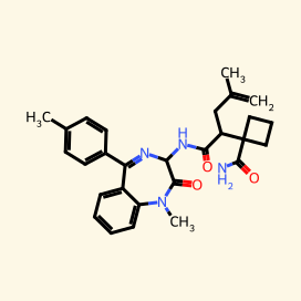 C=C(C)CC(C(=O)NC1N=C(c2ccc(C)cc2)c2ccccc2N(C)C1=O)C1(C(N)=O)CCC1